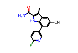 Cc1c(C(N)=O)[nH]c2c(-c3ccc(F)nc3)cc(C#N)cc12